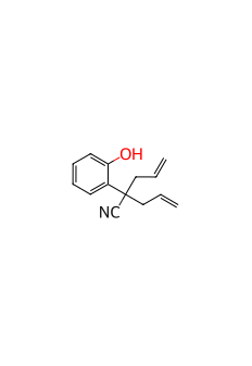 C=CCC(C#N)(CC=C)c1ccccc1O